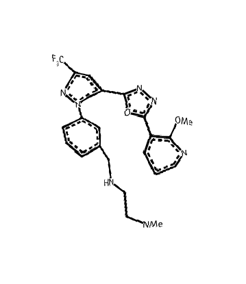 CNCCNCc1cccc(-n2nc(C(F)(F)F)cc2-c2nnc(-c3cccnc3OC)o2)c1